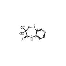 O=C1Nc2ccccc2OCC1(Cl)Cl